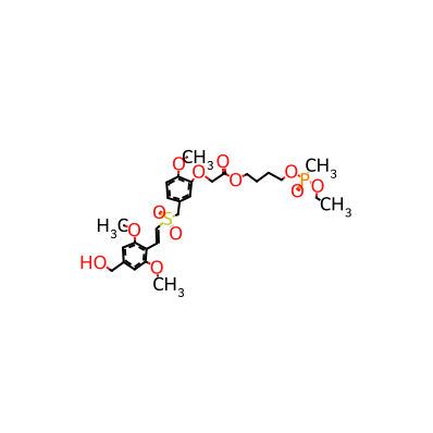 CCOP(C)(=O)OCCCCOC(=O)COc1cc(CS(=O)(=O)/C=C/c2c(OC)cc(CO)cc2OC)ccc1OC